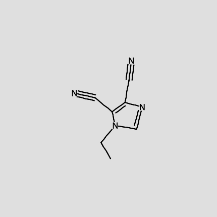 CCn1cnc(C#N)c1C#N